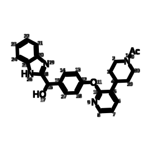 CC(=O)N1CCC(c2cccnc2Oc2ccc(C(O)c3nc4ccccc4[nH]3)cc2)CC1